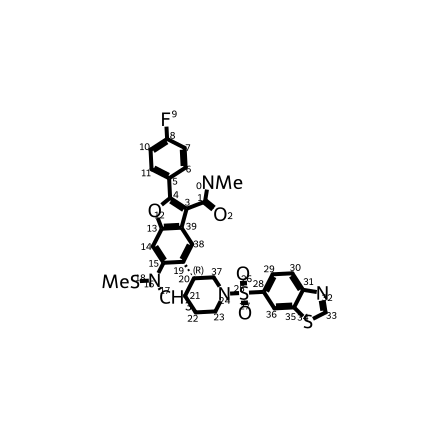 CNC(=O)c1c(-c2ccc(F)cc2)oc2cc(N(C)SC)c([C@H]3CCCN(S(=O)(=O)c4ccc5ncsc5c4)C3)cc12